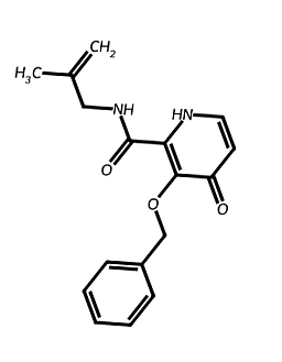 C=C(C)CNC(=O)c1[nH]ccc(=O)c1OCc1ccccc1